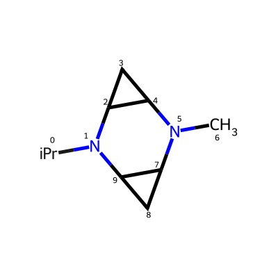 CC(C)N1C2CC2N(C)C2CC21